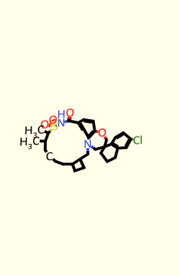 CC1CCCCC2CCC2CN2CC3(CCCc4cc(Cl)ccc43)COc3ccc(cc32)C(=O)NS(=O)(=O)C1C